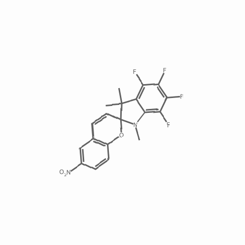 CN1c2c(F)c(F)c(F)c(F)c2C(C)(C)C12C=Cc1cc([N+](=O)[O-])ccc1O2